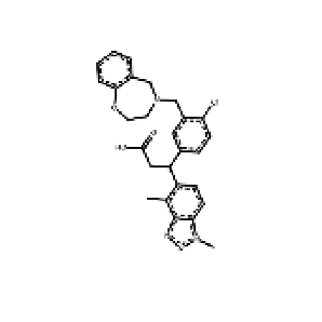 Cc1c(C(CC(=O)O)c2ccc(Cl)c(CN3CCOc4ccccc4C3)c2)ccc2c1nnn2C